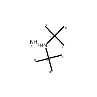 CC(C)(C)NC(C)(C)C.N